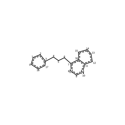 c1ccc(CCCc2ncnc3ccccc23)cc1